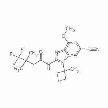 COc1cc(C#N)cc2c1nc(NC(=O)CC(C)(C)C(F)(F)F)n2C1(C)CCC1